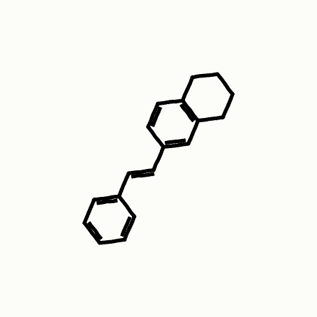 C(=Cc1ccc2c(c1)CCCC2)c1ccccc1